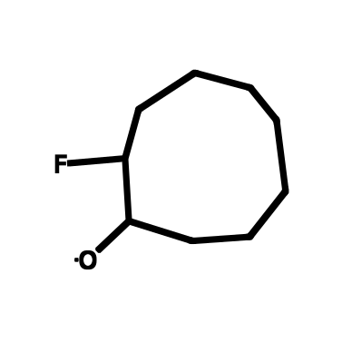 [O]C1CCCCCCCC1F